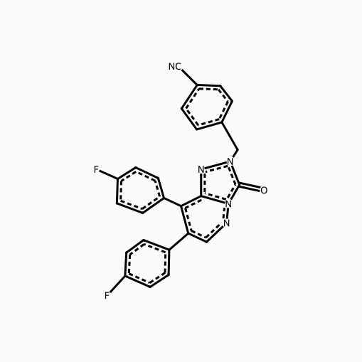 N#Cc1ccc(Cn2nc3c(-c4ccc(F)cc4)c(-c4ccc(F)cc4)cnn3c2=O)cc1